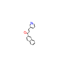 O=C(C=Cc1cccnc1)c1ccc2ccccc2c1